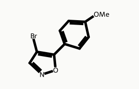 COc1ccc(-c2oncc2Br)cc1